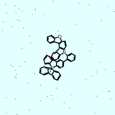 O=S12(c3ccccc3-c3ccccc31)c1ccccc1-c1cc(-c3ccccc3-n3c4ccccc4c4c5c(ccc43)oc3ccccc35)ccc12